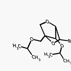 BC1OC2(COC(C)C)COC1C2OC(C)C